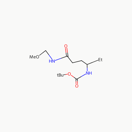 CCC(CCC(=O)NCOC)NC(=O)OC(C)(C)C